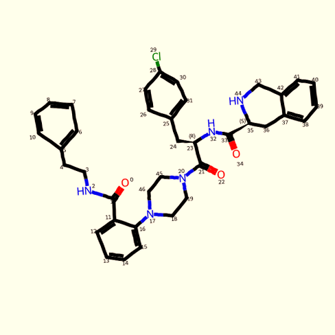 O=C(NCCc1ccccc1)c1ccccc1N1CCN(C(=O)[C@@H](Cc2ccc(Cl)cc2)NC(=O)[C@@H]2Cc3ccccc3CN2)CC1